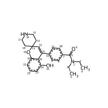 CCN(CC)C(=O)c1ccc(C2=CC3(CCNCC3)Oc3cccc(O)c32)cc1